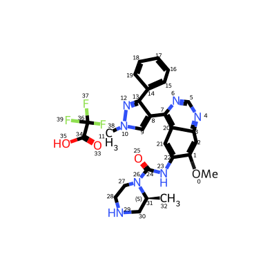 COc1cc2ncnc(-c3cn(C)nc3-c3ccccc3)c2cc1NC(=O)N1CCNC[C@@H]1C.O=C(O)C(F)(F)F